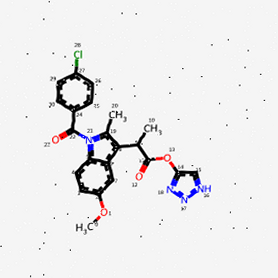 COc1ccc2c(c1)c(C(C)C(=O)Oc1c[nH]nn1)c(C)n2C(=O)c1ccc(Cl)cc1